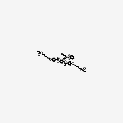 C=CCCN(/N=C/c1cc(OC(=O)c2ccc(OCCCCCCOC(=O)C=C)cc2)ccc1OC(=O)c1ccc(OCCCCCCOC(=O)C=C)cc1)c1nc2ccccc2s1